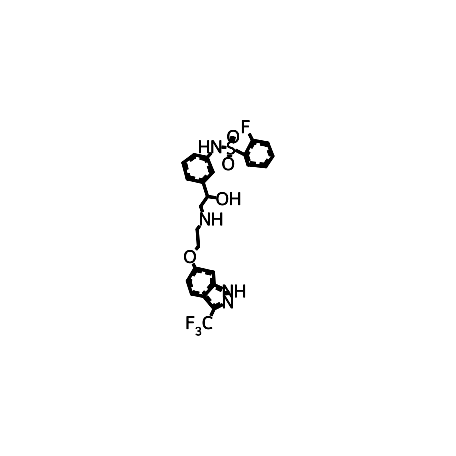 O=S(=O)(Nc1cccc(C(O)CNCCOc2ccc3c(C(F)(F)F)n[nH]c3c2)c1)c1ccccc1F